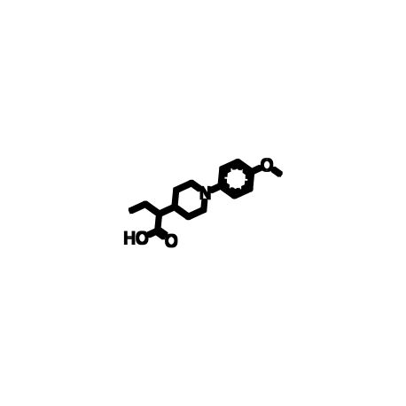 CCC(C(=O)O)C1CCN(c2ccc(OC)cc2)CC1